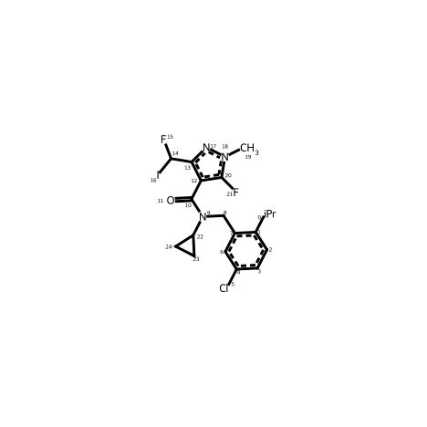 CC(C)c1ccc(Cl)cc1CN(C(=O)c1c(C(F)I)nn(C)c1F)C1CC1